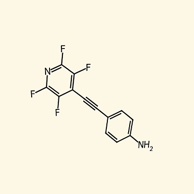 Nc1ccc(C#Cc2c(F)c(F)nc(F)c2F)cc1